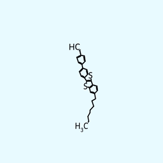 C#Cc1ccc(-c2ccc3c(c2)sc2c4ccc(CCCCCCCC)cc4sc32)cc1